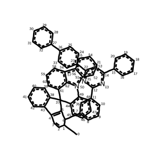 CC1C=CC2=C(C1c1cccc(-c3nc(-c4ccccc4)nc(-c4ccc(-c5ccccc5)cc4)n3)c1)C1(c3ccccc32)c2ccccc2-n2c3ccccc3c3cccc1c32